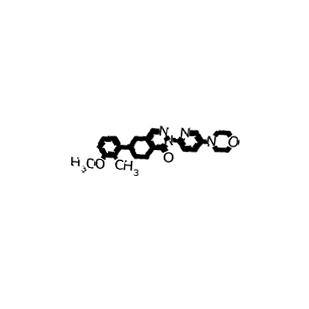 COc1cccc(C2CCc3c(cnn(-c4ccc(N5CCOCC5)cn4)c3=O)C2)c1C